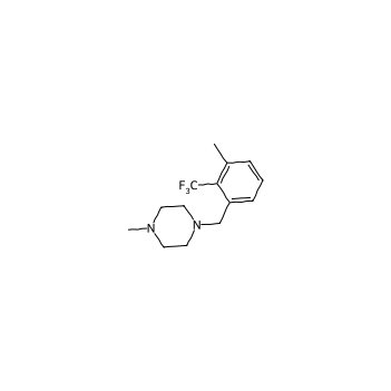 Cc1cccc(CN2CCN(C)CC2)c1C(F)(F)F